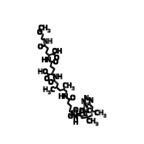 COCCNC(=O)CCC(NC(=O)CCC(NC(=O)CC(C)CC(C)CNC(=O)CCCS(=O)(=O)NC(=O)CC(C)(C)CC(C)(C)Cc1nnn[nH]1)C(=O)O)C(=O)O